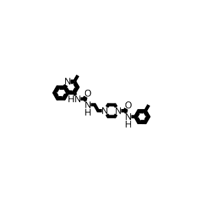 Cc1cccc(NC(=O)N2CCN(CCNC(=O)Nc3cc(C)nc4ccccc34)CC2)c1